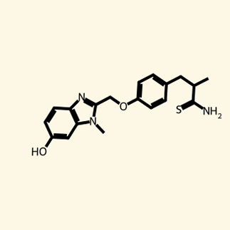 CC(Cc1ccc(OCc2nc3ccc(O)cc3n2C)cc1)C(N)=S